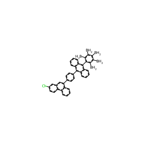 Bc1c(B)c(B)c(-c2c3ccccc3c(-c3ccc(-c4cc5cc(Cl)ccc5c5ccccc45)cc3)c3ccccc23)c(B)c1B